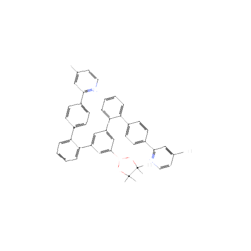 Cc1ccnc(-c2ccc(-c3ccccc3-c3cc(B4OC(C)(C)C(C)(C)O4)cc(-c4ccccc4-c4ccc(-c5cc(C)ccn5)cc4)c3)cc2)c1